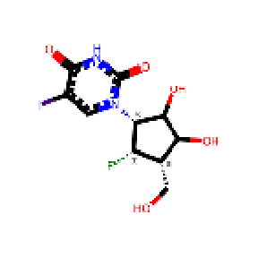 O=c1[nH]c(=O)n([C@@H]2C(O)C(O)[C@H](CO)[C@@H]2F)cc1I